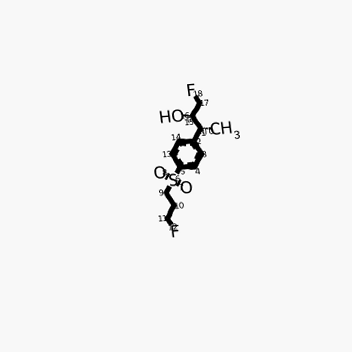 C[C@H](c1ccc(S(=O)(=O)CCCF)cc1)[C@H](O)CF